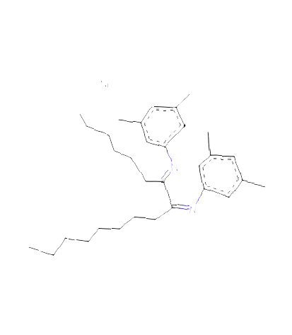 CCCCCCCCC(=Nc1cc(C)cc(C)c1)C(CCCCCC)=Nc1cc(C)cc(C)c1.[Ni]